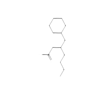 CCCCC(CC(=O)O)CC1CCCCC1